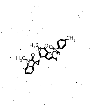 Cc1ccc(S(=O)(=O)n2c(I)cc3c([C@@H]4C[C@@]45C(=O)N(C)c4ccccc45)cn(C)c(=O)c32)cc1